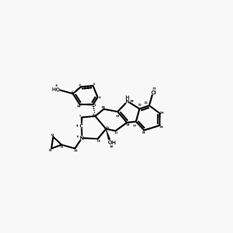 Oc1cccc([C@@]23CCN(CC4CC4)C[C@@]2(O)Cc2c([nH]c4c(Cl)cccc24)C3)c1